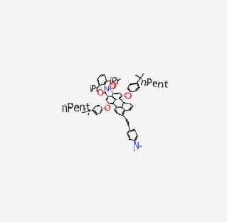 CCCCCC(C)(C)c1ccc(Oc2cc3c4c(cc(Oc5ccc(C(C)(C)CCCCC)cc5)c5c6ccc(C#Cc7ccc(N(C)C)cc7)c7cccc(c2c45)c76)C(=O)N(c2c(C(C)C)cccc2C(C)C)C3=O)cc1